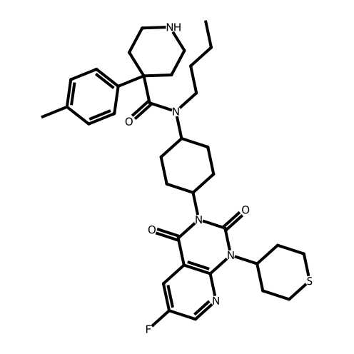 CCCCN(C(=O)C1(c2ccc(C)cc2)CCNCC1)C1CCC(n2c(=O)c3cc(F)cnc3n(C3CCSCC3)c2=O)CC1